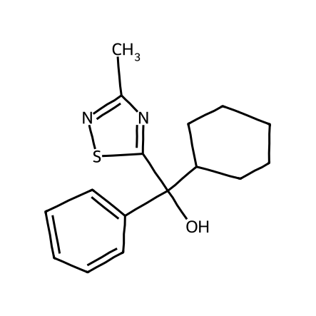 Cc1nsc(C(O)(c2ccccc2)C2CCCCC2)n1